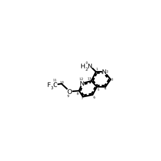 Nc1nccc2ccc(OCC(F)(F)F)nc12